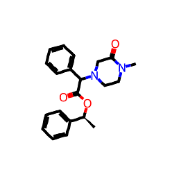 C[C@H](OC(=O)C(c1ccccc1)N1CCN(C)C(=O)C1)c1ccccc1